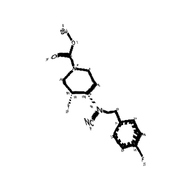 CC(C)(C)OC(=O)N1CC[C@H](N(C#N)Cc2ccc(F)cc2)[C@H](F)C1